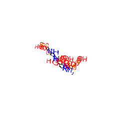 Nc1ccc2c(O)c(/N=N/c3ccc(C(=O)Nc4ccc(S(=O)(=O)CCOS(=O)(=O)O)cc4)cc3)c(SOOO)cc2c1/N=N/c1ccc(S(=O)(=O)CCOSOOO)cc1S(=O)(=O)O